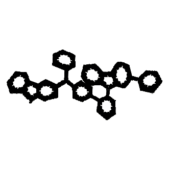 c1ccc(-c2ccc3c4ccccc4n(-c4ccccc4-c4ccc(N(c5ccccc5)c5ccc6sc7ccccc7c6c5)cc4)c3c2)cc1